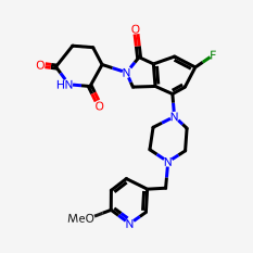 COc1ccc(CN2CCN(c3cc(F)cc4c3CN(C3CCC(=O)NC3=O)C4=O)CC2)cn1